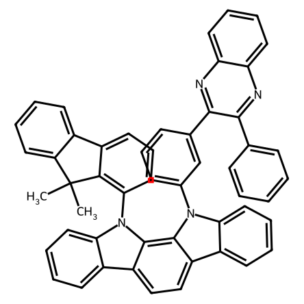 CC1(C)c2ccccc2-c2cccc(-n3c4ccccc4c4ccc5c6ccccc6n(-c6cccc(-c7nc8ccccc8nc7-c7ccccc7)c6)c5c43)c21